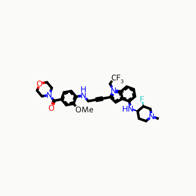 COc1cc(C(=O)N2CCOCC2)ccc1NCC#Cc1cc2c(N[C@@H]3CCN(C)C[C@@H]3F)cccc2n1CC(F)(F)F